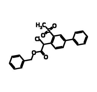 CS(=O)(=O)c1cc(-c2ccccc2)ccc1C(Cl)C(=O)OCc1ccccc1